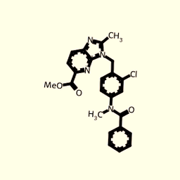 COC(=O)c1ccc2nc(C)n(Cc3ccc(N(C)C(=O)c4ccccc4)cc3Cl)c2n1